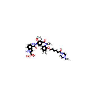 COc1cc(C(=O)N(C)c2ccc(C)cc2OCCCCCC(=O)N2CCN(C)CC2)ccc1NC(=O)c1cccc2[nH]c(C(=O)O)cc12